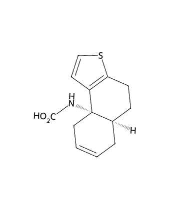 O=C(O)N[C@@]12CC=CC[C@@H]1CCc1sccc12